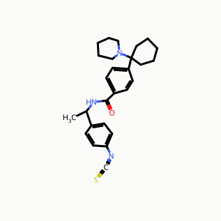 CC(NC(=O)c1ccc(C2(N3CCCCC3)CCCCC2)cc1)c1ccc(N=C=S)cc1